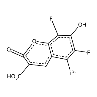 CC(C)c1c(F)c(O)c(F)c2oc(=O)c(C(=O)O)cc12